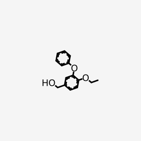 CCOc1ccc(CO)cc1Oc1ccccc1